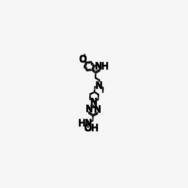 CCN(CCc1c[nH]c2cc(OC)ccc12)CC1CCN(c2ncc(CNO)cn2)CC1